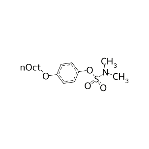 CCCCCCCCOc1ccc(OS(=O)(=O)N(C)C)cc1